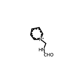 O=CNC[n+]1ccccc1